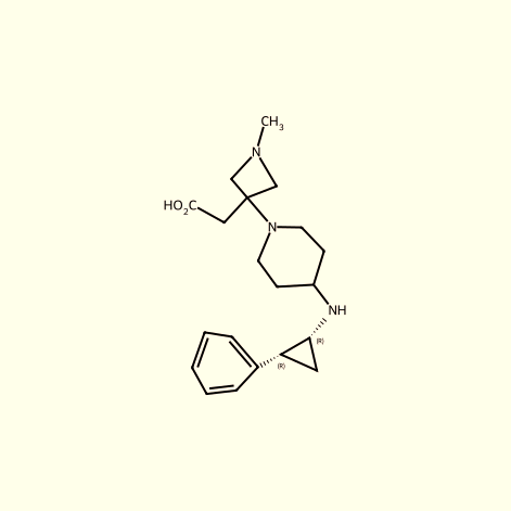 CN1CC(CC(=O)O)(N2CCC(N[C@@H]3C[C@@H]3c3ccccc3)CC2)C1